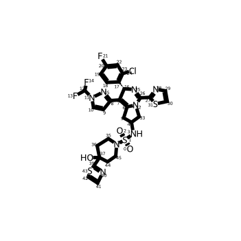 O=S(=O)(NC1CC2=C(c3ccn(C(F)F)n3)[C@H](c3ccc(F)cc3Cl)N=C(c3nccs3)N2C1)N1CCC(O)(c2nccs2)CC1